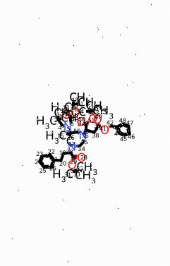 CC(C)(C)CN(CC(=O)OC(C)(C)C)C1(C)CN(C(CCc2ccccc2)C(=O)OC(C)(C)C)CCN(C(CC(=O)OCc2ccccc2)C(=O)OC(C)(C)C)C1